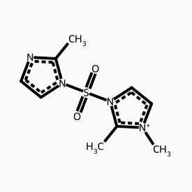 Cc1nccn1S(=O)(=O)n1cc[n+](C)c1C